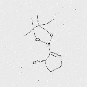 CC1(C)OB(C2=CCCC2=O)OC1(C)C